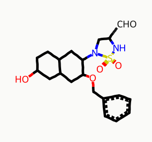 O=CC1CN(C2CC3CCC(O)CC3CC2OCc2ccccc2)S(=O)(=O)N1